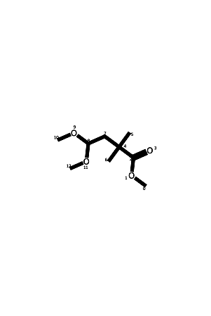 COC(=O)C(C)(C)CC(OC)OC